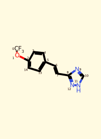 FC(F)(F)Oc1ccc(C=Cc2nc[nH]n2)cc1